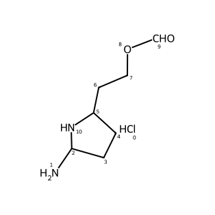 Cl.NC1CCC(CCOC=O)N1